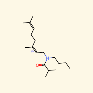 CCCCN(C/C=C(/C)CCC=C(C)C)C(=O)C(C)C